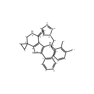 Cc1c(F)cccc1Nc1c(-c2ccncc2OCCn2ccnn2)[nH]c2c1C(=O)NCC21CC1